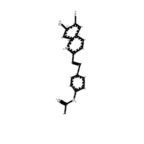 CC(=O)Oc1ccc(/C=C/c2ccc3cc(F)c(Cl)cc3n2)cc1